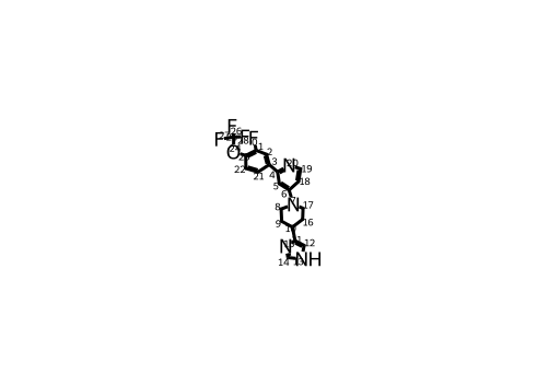 Fc1cc(-c2cc(N3CCC(c4c[nH]cn4)CC3)ccn2)ccc1OC(F)(F)F